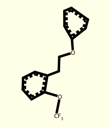 FC(F)(F)Oc1ccccc1CCOc1cc[c]cc1